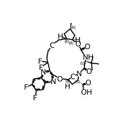 C[C@@H]1C[C@H]2CCCCC(F)(F)c3nc4cc(F)c(F)cc4nc3O[C@@H]3C[C@@H](C(=O)O)N(C3)C(=O)[C@H](C(C)(C)C)NC(=O)O[C@@H]2C1